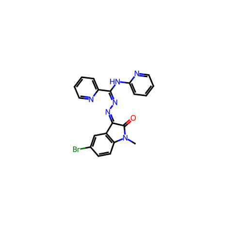 CN1C(=O)/C(=N\N=C(\Nc2ccccn2)c2ccccn2)c2cc(Br)ccc21